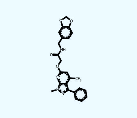 Cn1nc(-c2ccccc2)c2c(C(F)(F)F)cc(OCC(=O)NCc3ccc4c(c3)OCO4)nc21